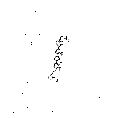 C=CC1OCC(c2ccc(-c3ccc(-c4ccc(CCCCC)c(F)c4F)cc3)c(F)c2)CO1